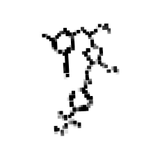 CC1CN(C(C)Cc2cc(Cl)cc(C#N)c2)CC1COc1ccc(S(C)(=O)=O)cc1